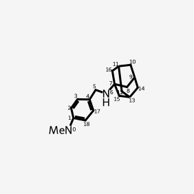 CNc1ccc(CNC23CC4CC(CC(C4)C2)C3)cc1